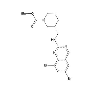 CCc1cc(Br)cc2cnc(NC[C@H]3CCCN(C(=O)OC(C)(C)C)C3)nc12